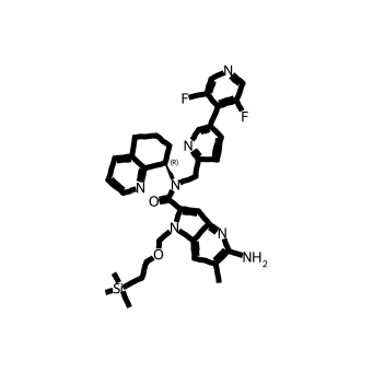 Cc1cc2c(cc(C(=O)N(Cc3ccc(-c4c(F)cncc4F)cn3)[C@@H]3CCCc4cccnc43)n2COCC[Si](C)(C)C)nc1N